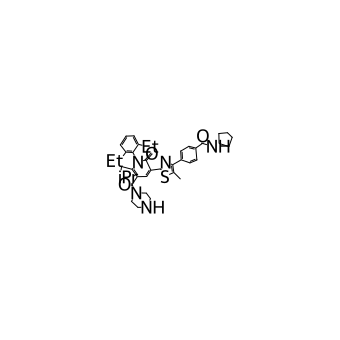 CCc1cccc(CC)c1-n1c(CC(C)C)c(C(=O)N2CCNCC2)cc(-c2nc(-c3ccc(C(=O)NC4CCCC4)cc3)c(C)s2)c1=O